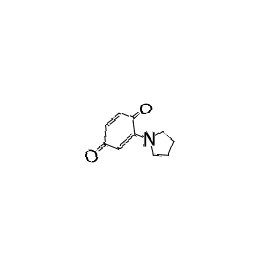 O=C1C=CC(=O)C(N2CCCC2)=C1